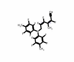 C#C/C(F)=C(C)\C(F)=C(\F)CN(c1c(F)c(F)c(C)c(F)c1F)c1c(F)c(F)c(C)c(F)c1F